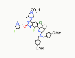 COc1ccc(CN(Cc2ccc(OC)cc2)c2cc(C)c(C(F)(F)F)c(-c3c(Cl)cc4c(N5CCN(C(=O)O)C[C@@H]5C)nc(OC[C@@H]5C[C@@H](F)CN5C)nc4c3F)n2)cc1